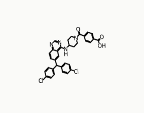 O=C(O)c1ccc(C(=O)N2CCC(Nc3ncnc4ccc(C(c5ccc(Cl)cc5)c5ccc(Cl)cc5)cc34)CC2)cc1